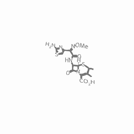 CO/N=C(\C(=O)NC1C(=O)N2C(C(=O)O)=C(C)C(C)S[C@H]12)c1csc(N)n1